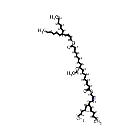 CCCCCCC(C/C=C\COC(=O)CCCCCCCC(CCCCCCCC(=O)OC/C=C\CC(CCCCCC)CCCCCC)OCC)CCCCCC